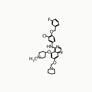 CN1CCC(Oc2cc(OCN3CCCCC3)cc3ncnc(Nc4ccc(OCc5cccc(F)c5)c(Cl)c4)c23)CC1